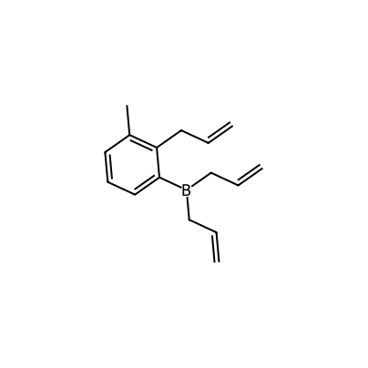 C=CCB(CC=C)c1cccc(C)c1CC=C